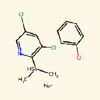 [CH3][SnH]([CH3])[c]1ncc(Cl)cc1Cl.[Na+].[O-]c1ccccc1